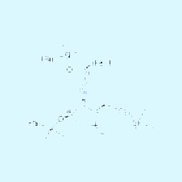 CCCCC[C@@H](/C=C/[C@H]1[C@H](O[Si](C)(C)C(C)(C)C)CC(=O)[C@@H]1CC#C[Si](C)(C)C)O[Si](C)(C)C(C)(C)C